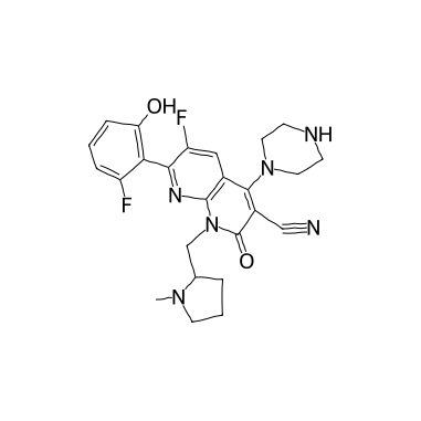 CN1CCCC1Cn1c(=O)c(C#N)c(N2CCNCC2)c2cc(F)c(-c3c(O)cccc3F)nc21